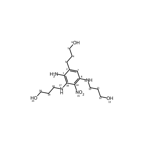 Nc1c(CCCO)cc(NCCCO)c([N+](=O)[O-])c1NCCCO